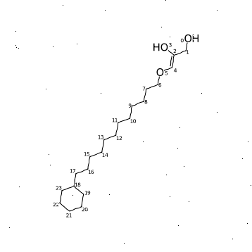 OCC(O)=COCCCCCCCCCCCCC1CCCCC1